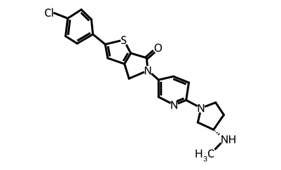 CN[C@H]1CCN(c2ccc(N3Cc4cc(-c5ccc(Cl)cc5)sc4C3=O)cn2)C1